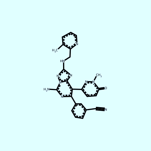 Cc1cccnc1CNc1nc2c(-c3ccc(=O)n(C)n3)c(-c3cccc(C#N)c3)nc(N)n2n1